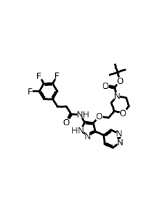 CC(C)(C)OC(=O)N1CCOC(COc2c(-c3ccnnc3)n[nH]c2NC(=O)CCc2cc(F)c(F)c(F)c2)C1